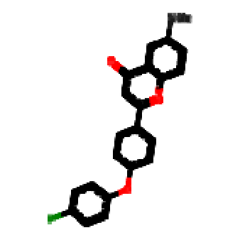 CC(=O)Nc1ccc2oc(-c3ccc(Oc4ccc(F)cc4)cc3)cc(=O)c2c1